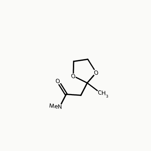 CNC(=O)CC1(C)OCCO1